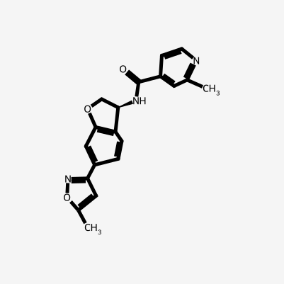 Cc1cc(C(=O)N[C@@H]2COc3cc(-c4cc(C)on4)ccc32)ccn1